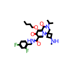 CCCCOc1c2n(cc(C(=O)NCc3ccc(F)cc3F)c1=O)C1(CC(NC)C1)CN(C(C)C)C2=O